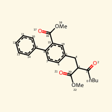 CCCCC(=O)C(Cc1ccc(-c2ccccc2)c(C(=O)OC)c1)C(=O)OC